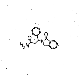 NC(=O)CC(c1ccccc1)N1Cc2ccccc2C1=O